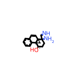 N=CC1(N)CC[C@@H](O)[C@@]23C[C@@]12C=Cc1ccccc13